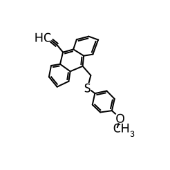 C#Cc1c2ccccc2c(CSc2ccc(OC)cc2)c2ccccc12